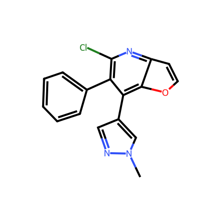 Cn1cc(-c2c(-c3ccccc3)c(Cl)nc3ccoc23)cn1